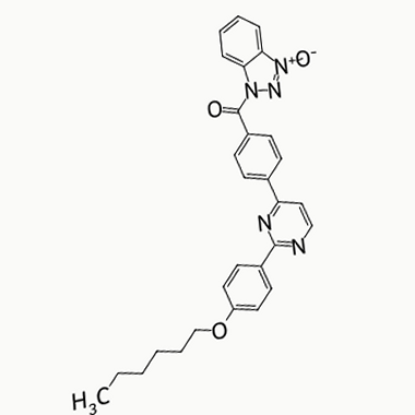 CCCCCCOc1ccc(-c2nccc(-c3ccc(C(=O)n4n[n+]([O-])c5ccccc54)cc3)n2)cc1